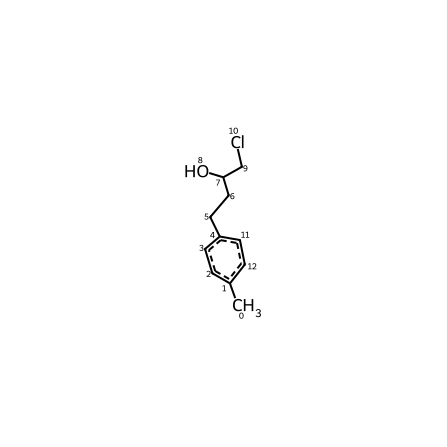 Cc1ccc(CCC(O)CCl)cc1